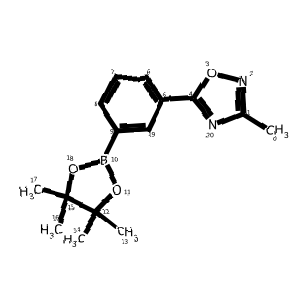 Cc1noc(-c2cccc(B3OC(C)(C)C(C)(C)O3)c2)n1